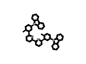 Cc1ccc(-n2c3ccccc3c3ccccc32)cc1-c1cccc(-c2cccc(-c3cc(-n4c5ccccc5c5ccccc54)ccc3C)n2)n1